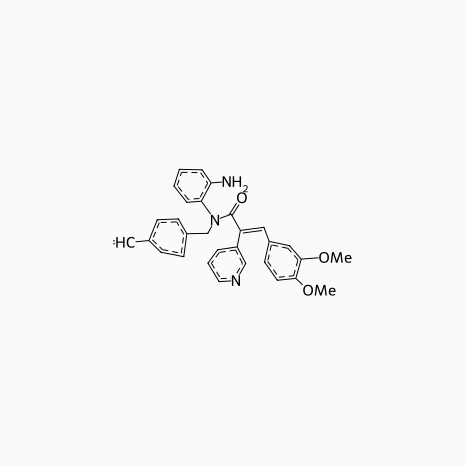 [CH]c1ccc(CN(C(=O)C(=Cc2ccc(OC)c(OC)c2)c2cccnc2)c2ccccc2N)cc1